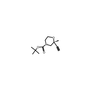 C#C[C@]1(C)CN(C(=O)OC(C)(C)C)CCO1